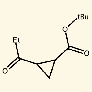 CCC(=O)C1CC1C(=O)OC(C)(C)C